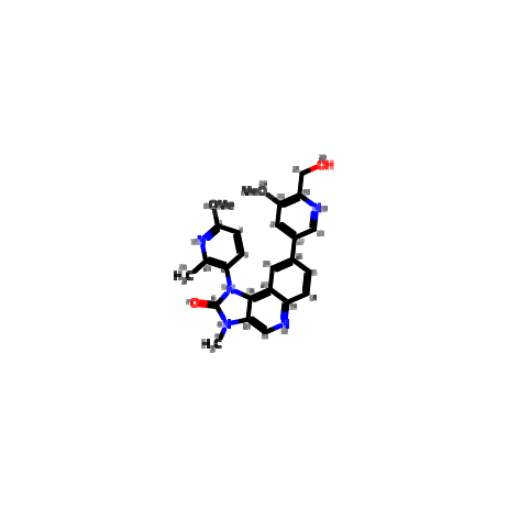 COc1ccc(-n2c(=O)n(C)c3cnc4ccc(-c5cnc(CO)c(OC)c5)cc4c32)c(C)n1